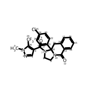 Cn1ncc(C(=O)N2CCN3C(=O)c4ccccc4CC32c2ccc(Cl)cc2)c1C(F)(F)F